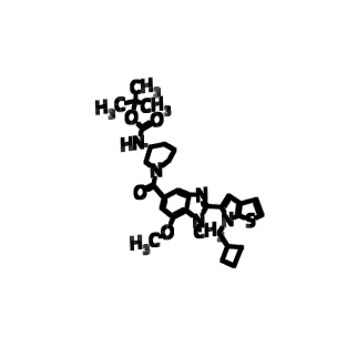 COc1cc(C(=O)N2CCC[C@@H](NC(=O)OC(C)(C)C)C2)cc2nc(-c3cc4ccsc4n3CC3CCC3)n(C)c12